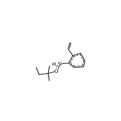 C=Cc1ccccc1[SiH2]OC(C)(C)CC